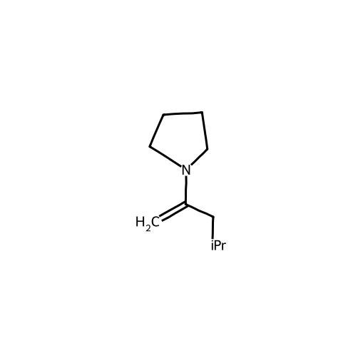 C=C(CC(C)C)N1CCCC1